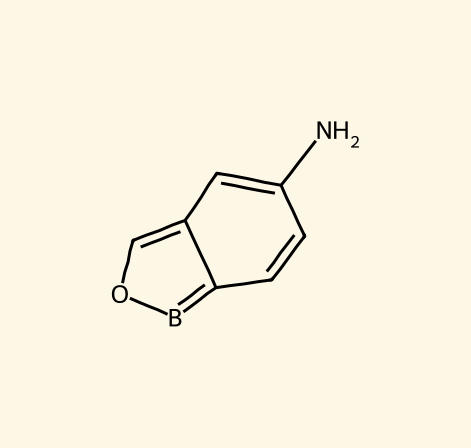 Nc1ccc2bocc2c1